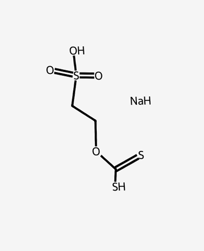 O=S(=O)(O)CCOC(=S)S.[NaH]